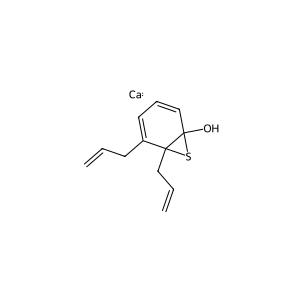 C=CCC1=CC=CC2(O)SC12CC=C.[Ca]